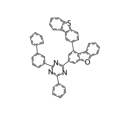 c1ccc(-c2cccc(-c3nc(-c4ccccc4)nc(-c4cc(-c5ccc6sc7ccccc7c6c5)c5c(c4)oc4ccccc45)n3)c2)cc1